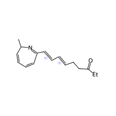 CCC(=O)CC/C=C/C=C/C1=NC(C)C=CC=C1